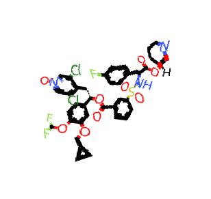 O=C(O[C@@H](Cc1c(Cl)c[n+]([O-])cc1Cl)c1ccc(OC(F)F)c(OCC2CC2)c1)c1cccc(S(=O)(=O)NC(C(=O)O[C@H]2CN3CCC2CC3)c2ccc(F)cc2)c1